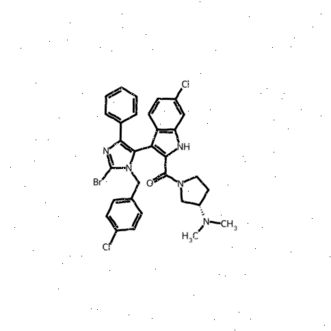 CN(C)[C@H]1CCN(C(=O)c2[nH]c3cc(Cl)ccc3c2-c2c(-c3ccccc3)nc(Br)n2Cc2ccc(Cl)cc2)C1